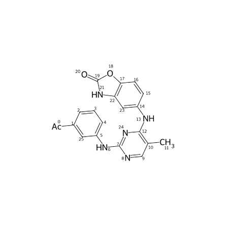 CC(=O)c1cccc(Nc2ncc(C)c(Nc3ccc4oc(=O)[nH]c4c3)n2)c1